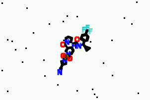 N#CC1CN(S(=O)(=O)N2CCC[C@H](C(=O)N3CCC[C@@H]3CC(=O)N[C@@H](c3ccc(C(F)(F)F)cc3)C3CC3)C2)C1